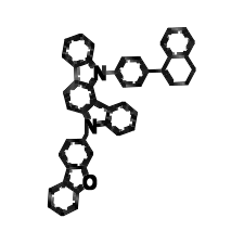 C1=C(c2ccc(-n3c4ccccc4c4ccc5c(c6ccccc6n5-c5ccc6c(c5)oc5ccccc56)c43)cc2)c2ccccc2CC1